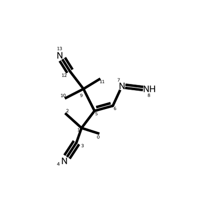 CC(C)(C#N)C(=CN=N)C(C)(C)C#N